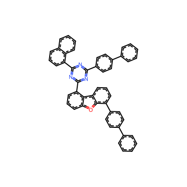 c1ccc(-c2ccc(-c3nc(-c4cccc5ccccc45)nc(-c4cccc5oc6c(-c7ccc(-c8ccccc8)cc7)cccc6c45)n3)cc2)cc1